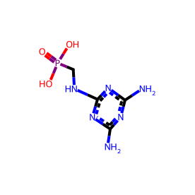 Nc1nc(N)nc(NCP(=O)(O)O)n1